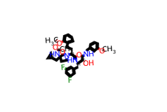 COc1cccc(CNC[C@@H](O)[C@H](Cc2cc(F)cc(F)c2)NC(=O)[C@H](CCc2ccccc2OC)N2CCC(CC3CC3)(NC(C)=O)C2=O)c1